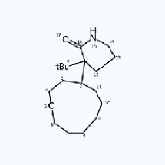 CC(C)(C)C1(C2CCCCCCCCC2)CCCNC1=O